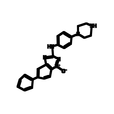 [O-][n+]1nc(Nc2ccc(N3CCNCC3)cc2)nc2cc(-c3ccccc3)ccc21